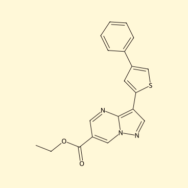 CCOC(=O)c1cnc2c(-c3cc(-c4ccccc4)cs3)cnn2c1